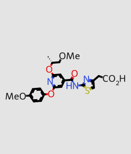 COC[C@@H](C)Oc1cc(C(=O)Nc2nc(CC(=O)O)cs2)cc(Oc2ccc(OC)cc2)n1